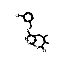 C/C1=C(\C)C(=O)Nc2cc(c(SCc3cccc(Cl)c3)nn2)C1